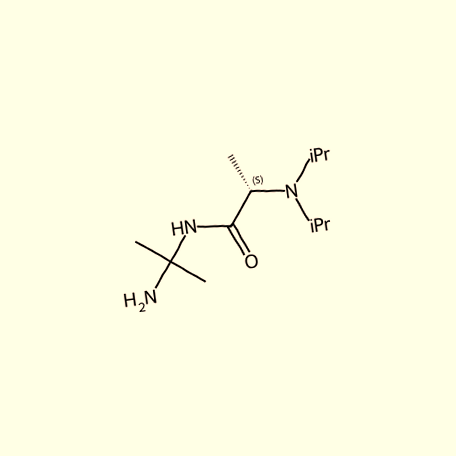 CC(C)N(C(C)C)[C@@H](C)C(=O)NC(C)(C)N